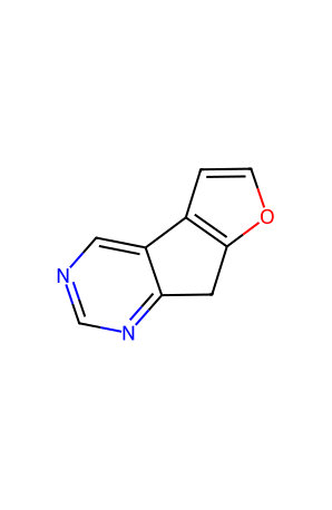 c1ncc2c(n1)Cc1occc1-2